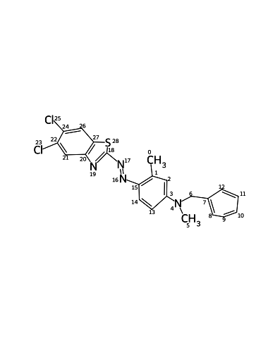 Cc1cc(N(C)Cc2ccccc2)ccc1N=Nc1nc2cc(Cl)c(Cl)cc2s1